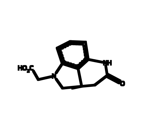 CC12CC(=O)Nc3cccc(c31)N(CC(=O)O)C2